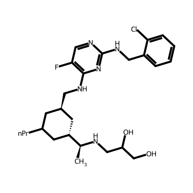 CCCC1C[C@@H](CNc2nc(NCc3ccccc3Cl)ncc2F)C[C@H]([C@H](C)NCC(O)CO)C1